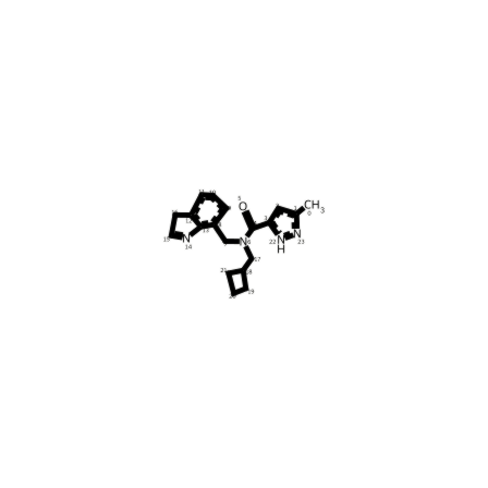 Cc1cc(C(=O)N(Cc2cccc3c2N=CC3)CC2CCC2)[nH]n1